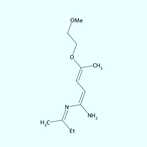 CC\C(C)=N/C(N)=C\C=C(/C)OCCOC